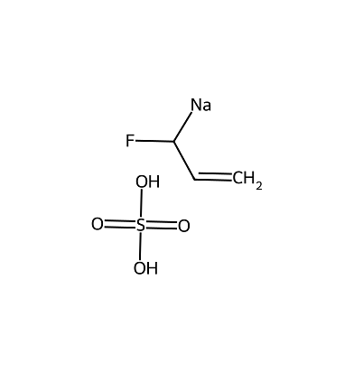 C=C[CH](F)[Na].O=S(=O)(O)O